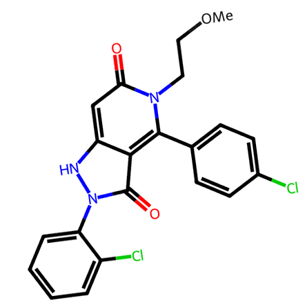 COCCn1c(-c2ccc(Cl)cc2)c2c(=O)n(-c3ccccc3Cl)[nH]c2cc1=O